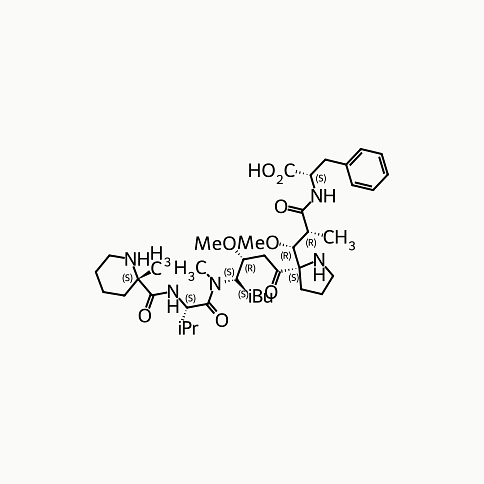 CC[C@H](C)[C@@H]([C@@H](CC(=O)[C@@]1([C@H](OC)[C@@H](C)C(=O)N[C@@H](Cc2ccccc2)C(=O)O)CCCN1)OC)N(C)C(=O)[C@@H](NC(=O)[C@]1(C)CCCCN1)C(C)C